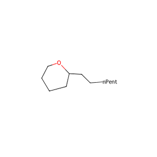 CCCCCCCC1CCCCO1